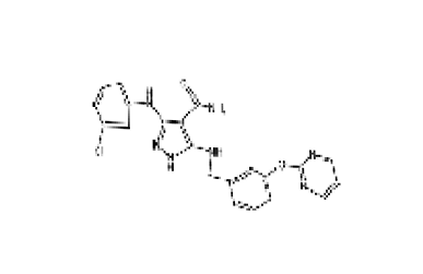 NC(=O)c1c(Nc2cccc(Cl)c2)n[nH]c1NCc1cccc(Oc2ncccn2)c1